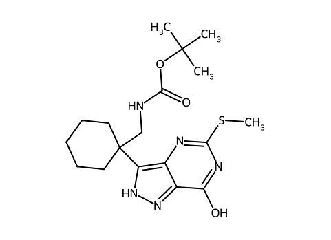 CSc1nc(O)c2n[nH]c(C3(CNC(=O)OC(C)(C)C)CCCCC3)c2n1